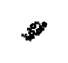 CC(C)c1cnn2c(Nc3ccc(S(=O)(=O)N4CCCC4)cc3)cc(N[C@H]3CC[C@H](N)CC3)nc12